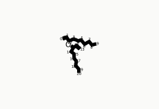 C=CC(CCCCCCC)OC(C=C)CCCCCCC